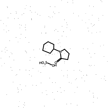 O=C1CCCN1C1CCCCC1.O=S(=O)(O)O